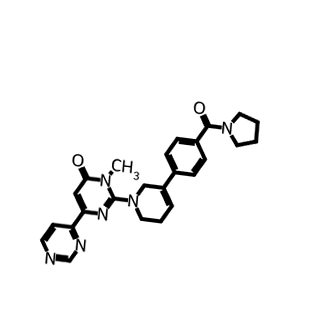 Cn1c(N2CCC=C(c3ccc(C(=O)N4CCCC4)cc3)C2)nc(-c2ccncn2)cc1=O